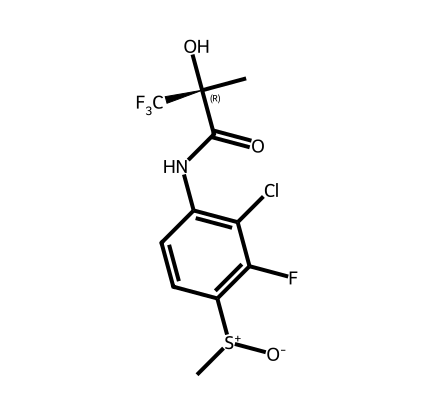 C[S+]([O-])c1ccc(NC(=O)[C@@](C)(O)C(F)(F)F)c(Cl)c1F